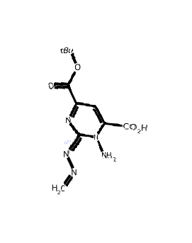 C=N/N=c1/nc(C(=O)OC(C)(C)C)cc(C(=O)O)n1N